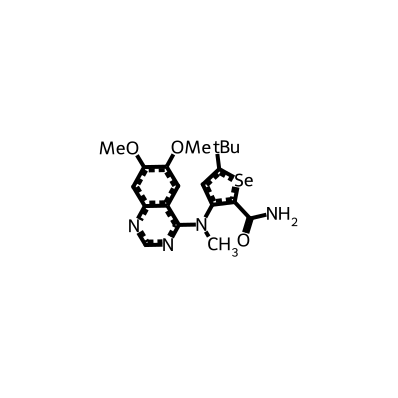 COc1cc2ncnc(N(C)c3cc(C(C)(C)C)[se]c3C(N)=O)c2cc1OC